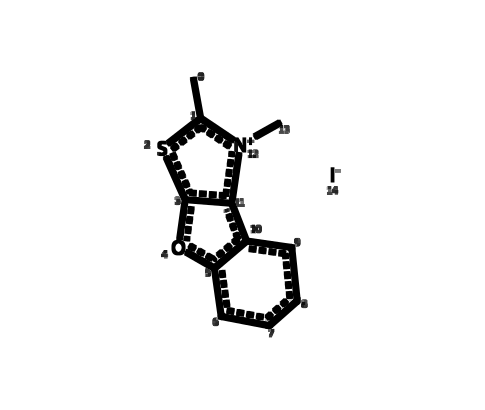 Cc1sc2oc3ccccc3c2[n+]1C.[I-]